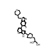 OCC(O)CN1CCC(c2cc3c(-c4cc5c(cc4F)ncn5CC4CCOCC4)ccnc3[nH]2)CC1